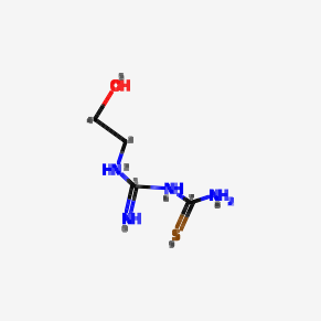 N=C(NCCO)NC(N)=S